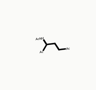 CC(=O)CCC(NC(C)=O)C(C)=O